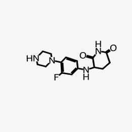 O=C1CCC(Nc2ccc(N3CCNCC3)c(F)c2)C(=O)N1